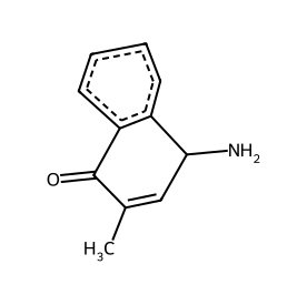 CC1=CC(N)c2ccccc2C1=O